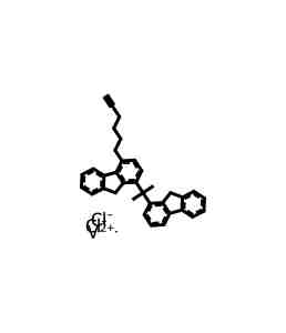 C#CCCCCc1ccc(C(C)(C)c2cccc3c2Cc2ccccc2-3)c2c1-c1ccccc1C2.[Cl-].[Cl-].[V+2]